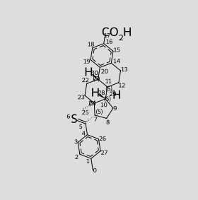 Cc1ccc(C(=S)[C@H]2CC[C@H]3[C@@H]4CCc5cc(C(=O)O)ccc5[C@H]4CC[C@]23C)cc1